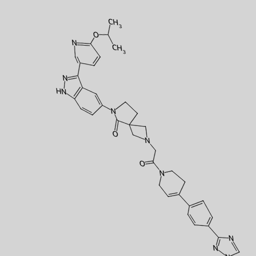 CC(C)Oc1ccc(-c2n[nH]c3ccc(N4CCC5(CN(CC(=O)N6CC=C(c7ccc(-c8ncn(C)n8)cc7)CC6)C5)C4=O)cc23)cn1